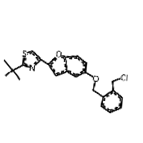 CC(C)(C)c1nc(-c2cc3cc(OCc4ccccc4CCl)ccc3o2)cs1